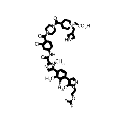 Cc1c(-c2cnc(C(=O)Nc3ccc(C(=O)N4CCN(C(=O)C5CC[N+](CC(=O)O)(CC6CNC6)CC5)CC4)c(Cl)c3)n2C)ccc(-c2cnn(CCOC(F)F)c2C)c1F